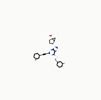 CNC(=O)[C@@]12C[C@@H]1[C@@H](n1cnc3c(NCc4cccc(Cl)c4)nc(C#Cc4cccc(Cl)c4)nc31)[C@H](O)[C@@H]2O